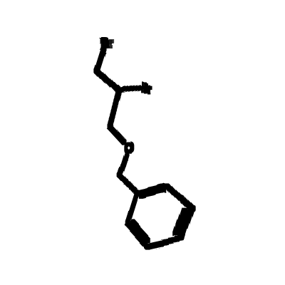 BrCC(Br)COCc1ccccc1